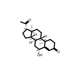 CC(=O)[C@H]1CC[C@H]2[C@@H]3C[C@@H](O)C4=CC(=O)CC[C@]4(C)[C@H]3CC[C@]12C